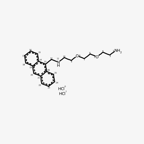 Cl.Cl.NCCOCCOCCNCc1c2ccccc2cc2ccccc12